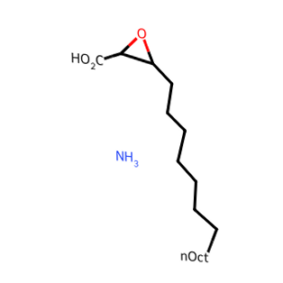 CCCCCCCCCCCCCCCC1OC1C(=O)O.N